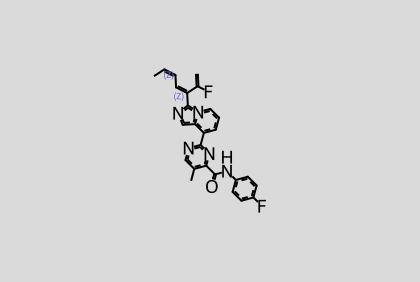 C=C(F)/C(=C\C=C/C)c1ncc2c(-c3ncc(C)c(C(=O)Nc4ccc(F)cc4)n3)cccn12